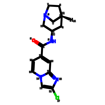 O=C(N[C@@H]1C[C@H]2CCN(C2)C1)c1ccn2cc(Cl)nc2c1